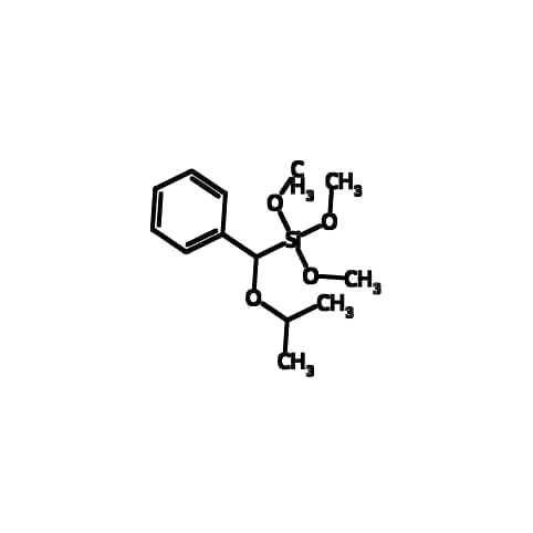 CO[Si](OC)(OC)C(OC(C)C)c1ccccc1